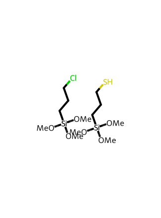 CO[Si](CCCCl)(OC)OC.CO[Si](CCCS)(OC)OC